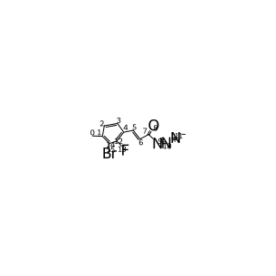 Cc1ccc(C=CC(=O)N=[N+]=[N-])c(F)c1Br